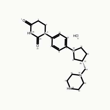 Cl.O=C1CCN(c2ccc(N3CC[C@H](CN4CCNCC4)C3)cc2)C(=O)N1